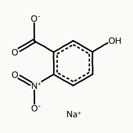 O=C([O-])c1cc(O)ccc1[N+](=O)[O-].[Na+]